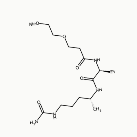 COCCOCCC(=O)N[C@H](C(=O)N[C@H](C)CCCNC(N)=O)C(C)C